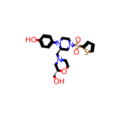 O=S(=O)(c1cccs1)N1CCN(c2ccc(O)cc2)[C@H](CN2CCO[C@H](CO)C2)C1